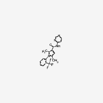 Cc1cc(C(=O)Nc2ccncn2)c(C)n1-c1ccccc1C(F)(F)F